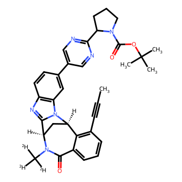 [2H]C([2H])([2H])N1C(=O)c2cccc(C#CC)c2[C@H]2C[C@@H]1c1nc3ccc(-c4cnc(C5CCCN5C(=O)OC(C)(C)C)nc4)cc3n12